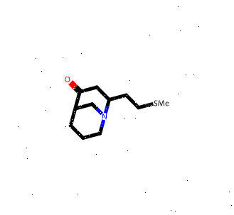 CSCCC1CC(=O)C2CCCN1C2